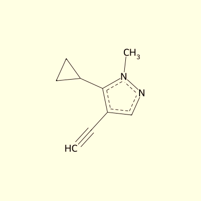 C#Cc1cnn(C)c1C1CC1